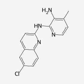 Cc1ccnc(Nc2ccc3cc(Cl)ccc3n2)c1N